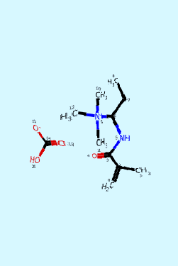 C=C(C)C(=O)NC(CC)[N+](C)(C)C.O=C([O-])O